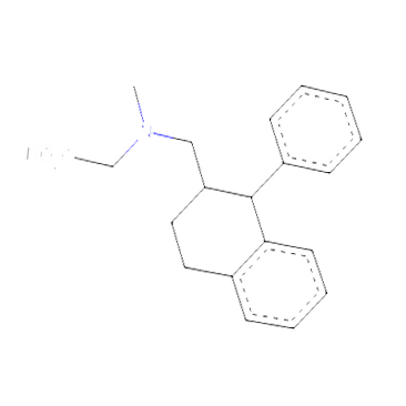 CN(CC(=O)O)CC1CCc2ccccc2C1c1ccccc1